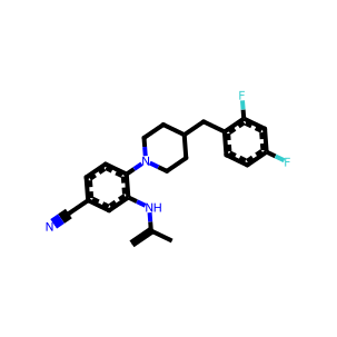 C=C(C)Nc1cc(C#N)ccc1N1CCC(Cc2ccc(F)cc2F)CC1